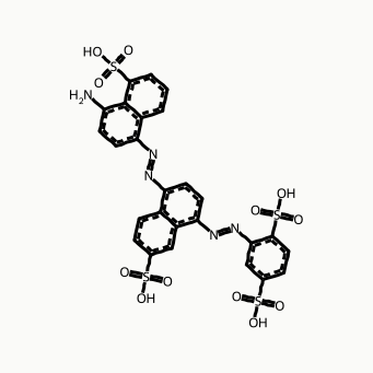 Nc1ccc(N=Nc2ccc(N=Nc3cc(S(=O)(=O)O)ccc3S(=O)(=O)O)c3cc(S(=O)(=O)O)ccc23)c2cccc(S(=O)(=O)O)c12